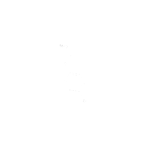 CCc1[c]cc(OCOC)cc1